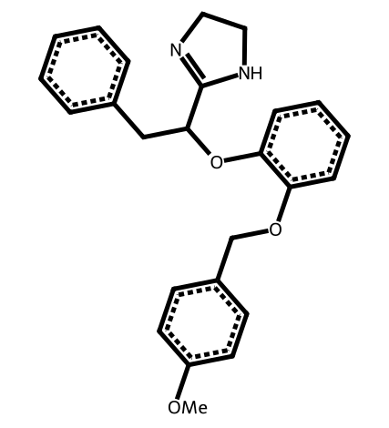 COc1ccc(COc2ccccc2OC(Cc2ccccc2)C2=NCCN2)cc1